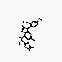 CC[C@H](Nc1cc(C)nc2c(-c3ccc(OC)cc3Cl)c(C)nn12)c1nc(C)no1